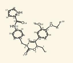 CCC1OC(=O)N(Cc2ccc(NC(=O)c3ccc[nH]3)cc2)N=C1c1ccc(OCF)c(OC)c1